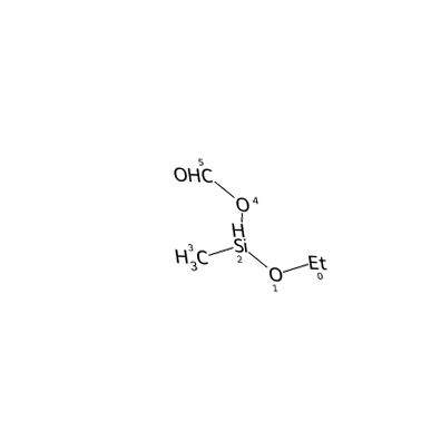 CCO[SiH](C)OC=O